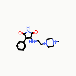 CN1CCN(CCNC2=C(c3ccccc3)C(=O)NC2=O)CC1